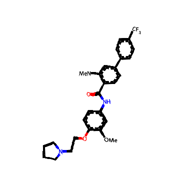 CNc1cc(-c2ccc(C(F)(F)F)cc2)ccc1C(=O)Nc1ccc(OCCN2CCCC2)c(OC)c1